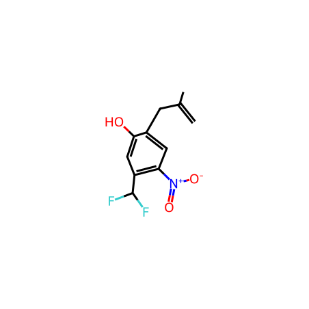 C=C(C)Cc1cc([N+](=O)[O-])c(C(F)F)cc1O